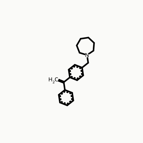 C=C(c1ccccc1)c1ccc(CN2CCCCCC2)cc1